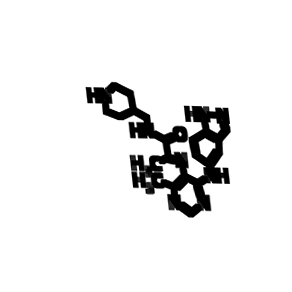 C/C(=N\c1c(C)ncnc1Nc1ccc2[nH]ncc2c1)C(=O)NCC1CCNCC1